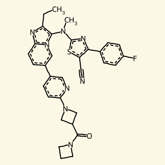 CCc1nc2ccc(-c3ccc(N4CC(C(=O)N5CCC5)C4)nc3)cn2c1N(C)c1nc(-c2ccc(F)cc2)c(C#N)s1